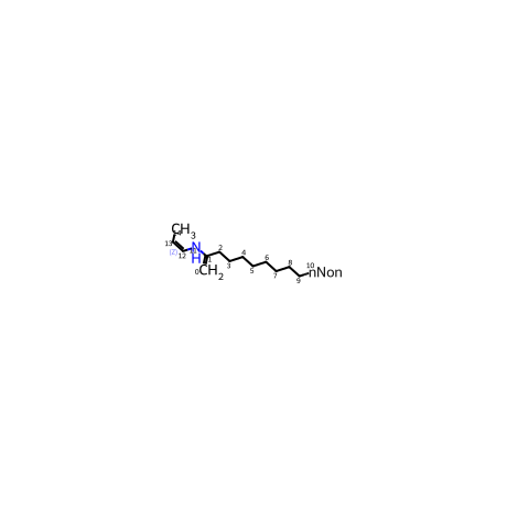 C=C(CCCCCCCCCCCCCCCCC)N/C=C\C